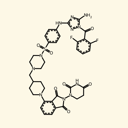 Nc1nc(Nc2ccc(S(=O)(=O)N3CCN(CC4CCN(c5cccc6c5C(=O)N(N5CCC(=O)NC5=O)C6=O)CC4)CC3)cc2)nn1C(=O)c1c(F)cccc1F